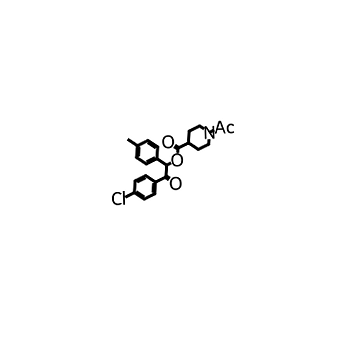 CC(=O)N1CCC(C(=O)OC(C(=O)c2ccc(Cl)cc2)c2ccc(C)cc2)CC1